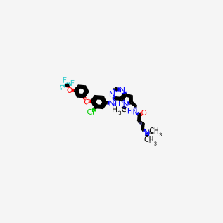 CN(C)C/C=C/C(=O)NCC1Cc2ncnc(Nc3ccc(Oc4cccc(OC(F)(F)F)c4)c(Cl)c3)c2N1C